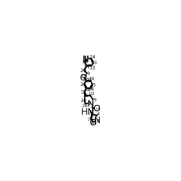 O=C(Nc1cnoc1)N1CCC(=Cc2cccc(OCCc3cccnc3)c2)CC1